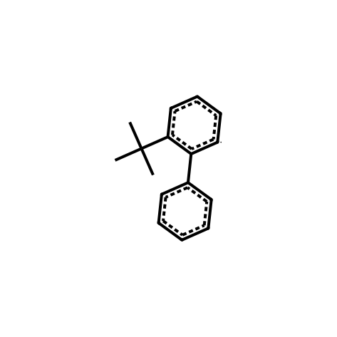 CC(C)(C)c1ccc[c]c1-c1ccccc1